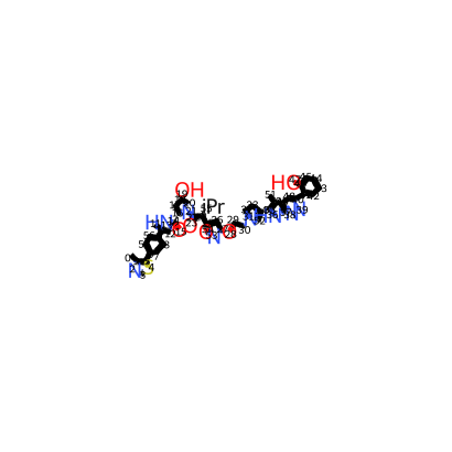 Cc1ncsc1-c1ccc(C(C)(C)NC(=O)[C@@H]2C[C@@H](O)CN2C(=O)[C@@H](c2cc(OCCN3CC[C@H](c4[nH]c5nnc(-c6ccccc6O)cc5c4C)C3)no2)C(C)C)cc1